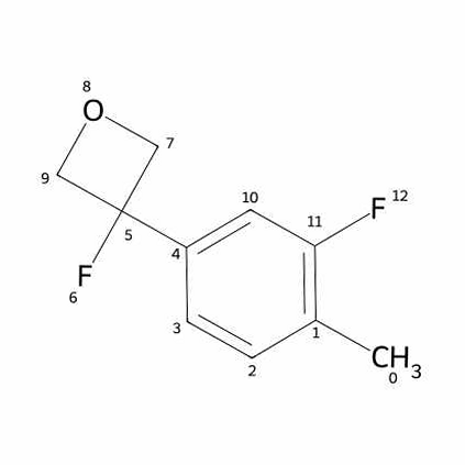 Cc1ccc(C2(F)COC2)cc1F